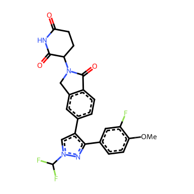 COc1ccc(-c2nn(C(F)F)cc2-c2ccc3c(c2)CN(C2CCC(=O)NC2=O)C3=O)cc1F